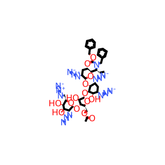 CC[C@H]([C@@H]1CC[C@@H](N=[N+]=[N-])[C@@H](O[C@H]2[C@H](O[C@@H]3O[C@H](COC(C)=O)[C@@H](O[C@H]4O[C@@H](CN=[N+]=[N-])[C@@H](O)[C@H](O)[C@H]4N=[N+]=[N-])[C@H]3O)[C@@H](O)[C@H](N=[N+]=[N-])C[C@@H]2N=[N+]=[N-])O1)N(Cc1ccccc1)C(=O)OCc1ccccc1